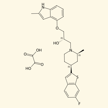 Cc1cc2c(OC[C@@H](O)CN3CC[C@H](c4cc5ccc(F)cc5s4)C[C@@H]3C)cccc2[nH]1.O=C(O)C(=O)O